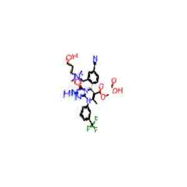 COC(=O)C1=C(C)N(c2cccc(C(F)(F)F)c2)c2n[nH]c(=O)n2[C@@H]1c1ccc(C#N)cc1C[N+](C)(C)CCCO.O=CO